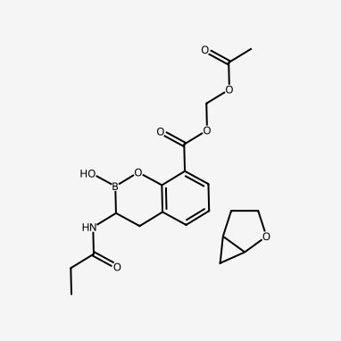 C1CC2CC2O1.CCC(=O)NC1Cc2cccc(C(=O)OCOC(C)=O)c2OB1O